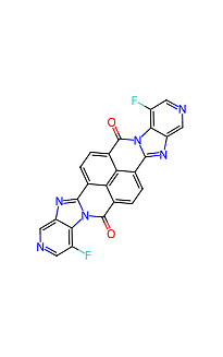 O=c1c2ccc3c4c(ccc(c24)c2nc4cncc(F)c4n12)c(=O)n1c3nc2cncc(F)c21